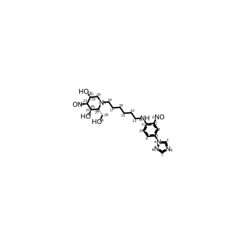 O=Nc1cc(-n2cncn2)ccc1NCCCCCCN1C[C@H](O)C(N=O)[C@H](O)[C@H]1CO